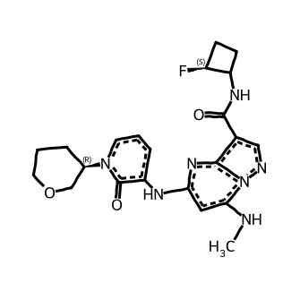 CNc1cc(Nc2cccn([C@@H]3CCCOC3)c2=O)nc2c(C(=O)NC3CC[C@@H]3F)cnn12